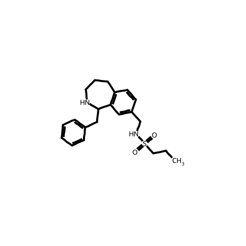 CCCS(=O)(=O)NCc1ccc2c(c1)C(Cc1ccccc1)NCCC2